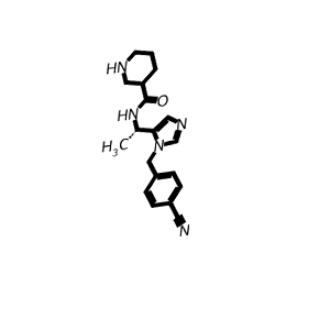 C[C@H](NC(=O)C1CCCNC1)c1cncn1Cc1ccc(C#N)cc1